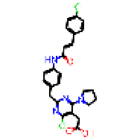 O=C(O)Cc1c(Cl)nc(Cc2ccc(NC(=O)C=Cc3ccc(Cl)cc3)cc2)nc1N1CCCC1